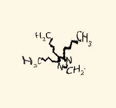 [CH2]c1nc(CCCCC)c(CCCCC)c(CCCCC)n1